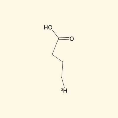 [2H]CCCC(=O)O